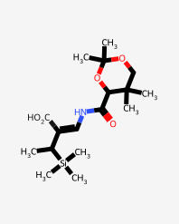 CC(/C(=C/NC(=O)C1OC(C)(C)OCC1(C)C)C(=O)O)[Si](C)(C)C